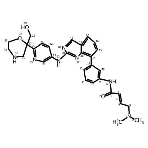 CN(C)C/C=C/C(=O)Nc1cccc(-c2cccc3cnc(Nc4ccc(C5(CO)CNCCO5)nc4)nc23)c1